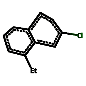 CCc1cccc2ccc(Cl)cc12